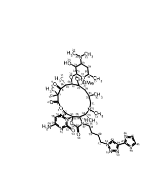 CC[C@H]1OC(=O)C(C)(F)C(=O)[C@H](C)[C@@H](O[C@@H]2O[C@H](C)CC(N(C)C)C2O)[C@](C)(OC)C[C@@H](C)CN(C)[C@H](C)[C@H]2N(CCCCn3cc(-c4nccs4)nn3)C(=O)O[C@]12n1ccc(N)nc1=O